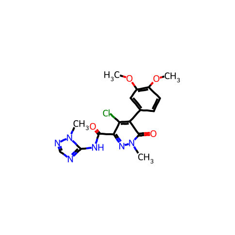 COc1ccc(-c2c(Cl)c(C(=O)Nc3ncnn3C)nn(C)c2=O)cc1OC